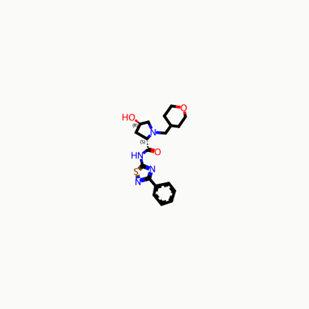 O=C(Nc1nc(-c2ccccc2)ns1)[C@@H]1C[C@@H](O)CN1CC1CCOCC1